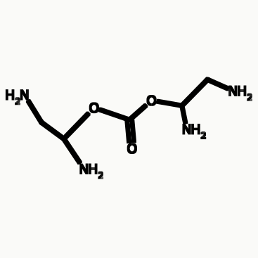 NCC(N)OC(=O)OC(N)CN